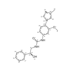 COc1cc(NC(=O)NC[C@@H](O)c2ccccc2)ccc1-n1cnc(C)c1